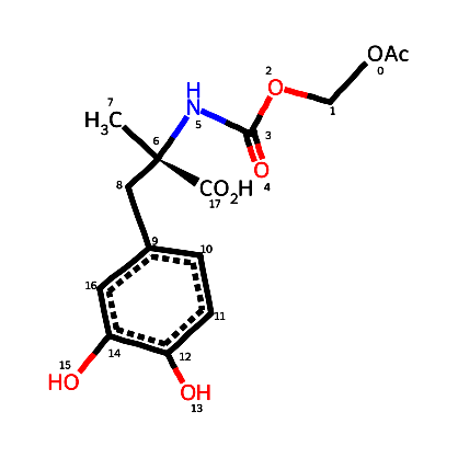 CC(=O)OCOC(=O)N[C@@](C)(Cc1ccc(O)c(O)c1)C(=O)O